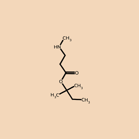 CCC(C)(C)OC(=O)CCNC